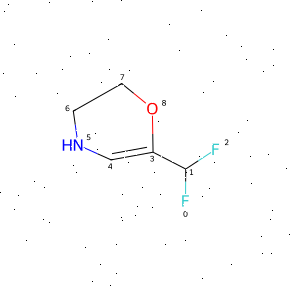 FC(F)C1=CNCCO1